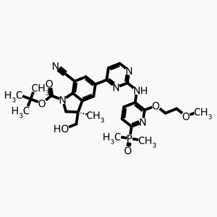 COCCOc1nc(P(C)(C)=O)ccc1Nc1nccc(-c2cc(C#N)c3c(c2)[C@@](C)(CO)CN3C(=O)OC(C)(C)C)n1